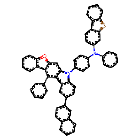 c1ccc(-c2c3c(cc4c2c2cc(-c5ccc6ccccc6c5)ccc2n4-c2ccc(N(c4ccccc4)c4ccc5c(c4)sc4ccccc45)cc2)oc2ccccc23)cc1